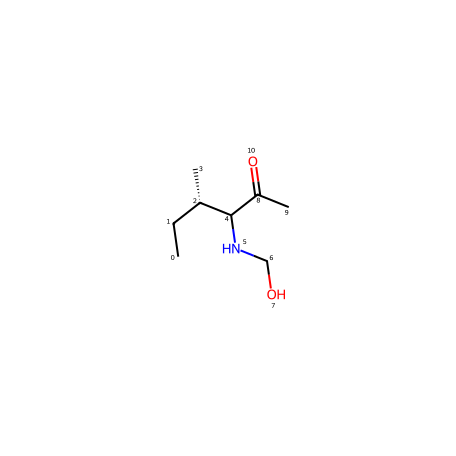 CC[C@H](C)C(NCO)C(C)=O